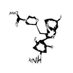 COC(=O)N1CCO[C@@H](Cc2c(-c3c(F)cc(NC(C)=O)cc3F)nc3cc(F)ccn23)C1